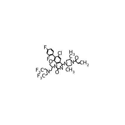 C=CC(=O)N1C[C@H](C)N(c2nc(=O)n3c4c(c(-c5ccc(F)cc5F)c(Cl)cc24)OCC3CN(CC(F)(F)F)CC(F)(F)F)C[C@H]1C